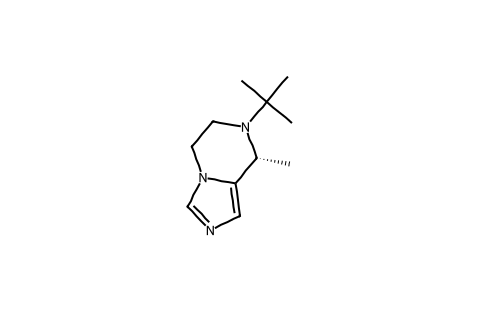 C[C@@H]1c2cncn2CCN1C(C)(C)C